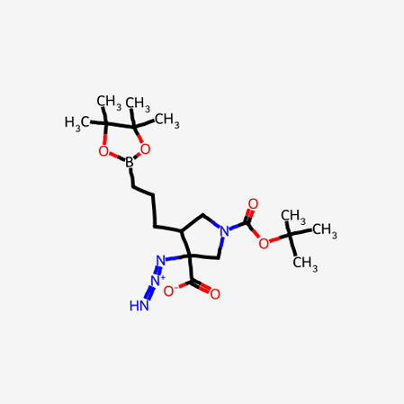 CC(C)(C)OC(=O)N1CC(CCCB2OC(C)(C)C(C)(C)O2)C(N=[N+]=N)(C(=O)[O-])C1